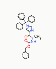 C[C@H](NC(=O)OCc1ccccc1)C(=O)c1cn(C(c2ccccc2)(c2ccccc2)c2ccccc2)cn1